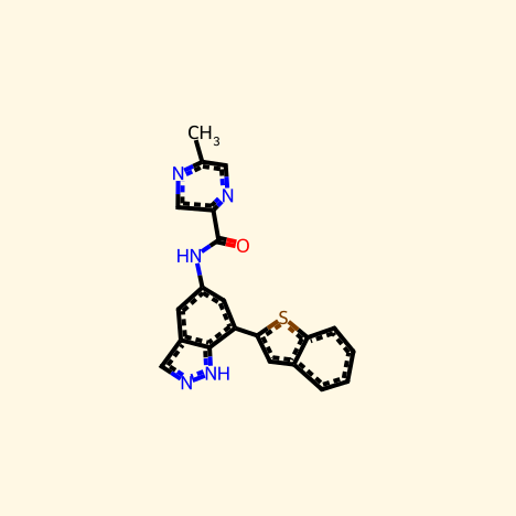 Cc1cnc(C(=O)Nc2cc(-c3cc4ccccc4s3)c3[nH]ncc3c2)cn1